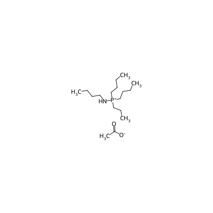 CC(=O)[O-].CCCCN[P+](CCC)(CCCC)CCCC